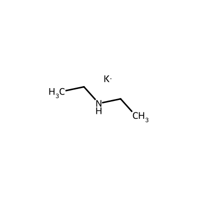 CCNCC.[K]